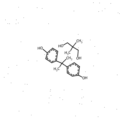 CC(C)(CO)CO.CC(C)(c1ccc(O)cc1)c1ccc(O)cc1